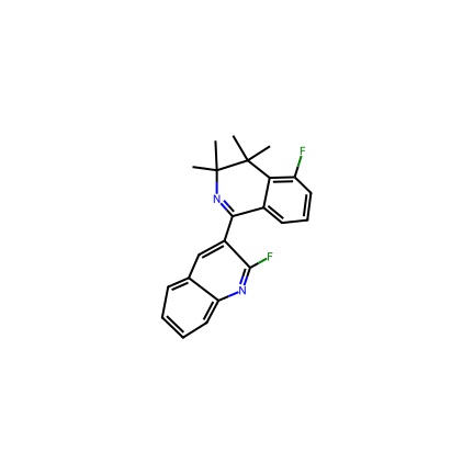 CC1(C)N=C(c2cc3ccccc3nc2F)c2cccc(F)c2C1(C)C